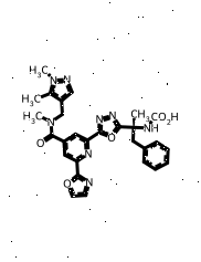 Cc1c(CN(C)C(=O)c2cc(-c3ncco3)nc(-c3nnc([C@@](C)(Cc4ccccc4)NC(=O)O)o3)c2)cnn1C